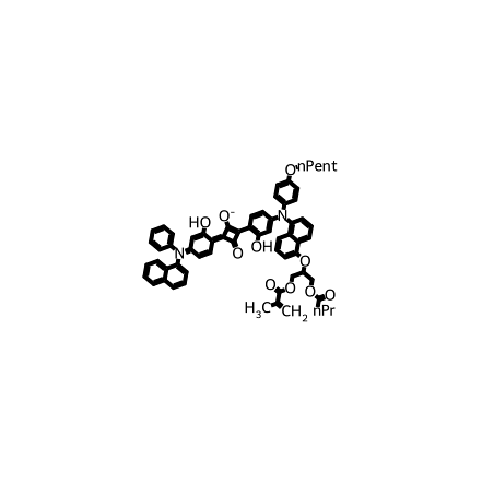 C=C(C)C(=O)OCC(COC(=O)CCC)Oc1cccc2c(N(c3ccc(OCCCCC)cc3)c3ccc(C4=C([O-])/C(=C5C=C/C(=[N+](/c6ccccc6)c6cccc7ccccc67)C=C/5O)C4=O)c(O)c3)cccc12